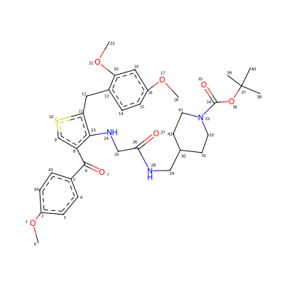 COc1ccc(C(=O)c2csc(Cc3ccc(OC)cc3OC)c2NCC(=O)NCC2CCN(C(=O)OC(C)(C)C)CC2)cc1